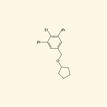 CCc1c(C(C)C)cc(COC2CCCC2)cc1C(C)C